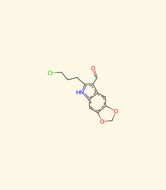 O=Cc1c(CCCCl)[nH]c2cc3c(cc12)OCO3